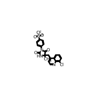 CC1(Cc2ccnc3c(Cl)cccc23)NC(=O)N(c2ccc(S(=O)(=O)C(F)(F)F)cc2)C1=O